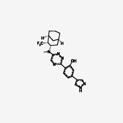 CN(c1cnc(-c2ccc(-c3cn[nH]c3)cc2O)nn1)[C@H]1C[C@@H]2CCC[C@@H](C2)[C@H]1C(F)(F)F